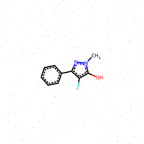 Cn1nc(-c2ccccc2)c(F)c1O